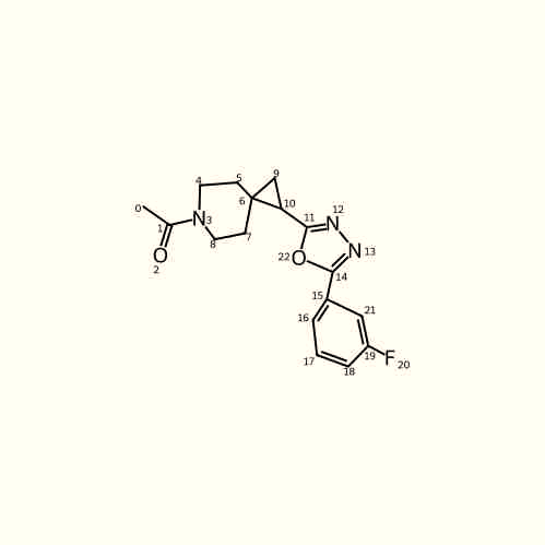 CC(=O)N1CCC2(CC1)CC2c1nnc(-c2cccc(F)c2)o1